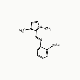 CNc1ccccc1/N=N/c1n(C)cc[n+]1C